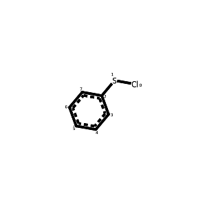 ClSc1cc[c]cc1